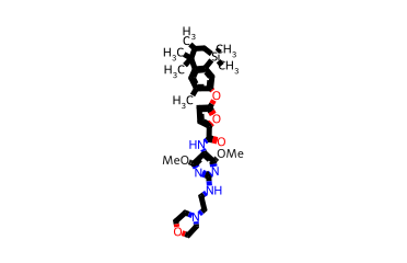 COc1nc(NCCN2CCOCC2)nc(OC)c1NC(=O)c1ccc(Oc2cc3c(cc2C)C(C)(C)C(C)C[Si]3(C)C)o1